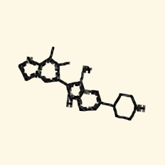 Cc1c(-c2[nH]c3ccc(C4CCNCC4)cc3c2C(C)C)cn2ccnc2c1C